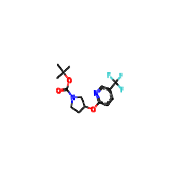 CC(C)(C)OC(=O)N1CCC(Oc2ccc(C(F)(F)F)cn2)C1